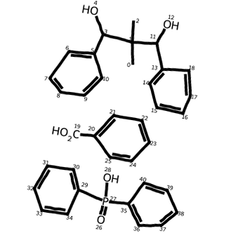 CC(C)(C(O)c1ccccc1)C(O)c1ccccc1.O=C(O)c1ccccc1.O=P(O)(c1ccccc1)c1ccccc1